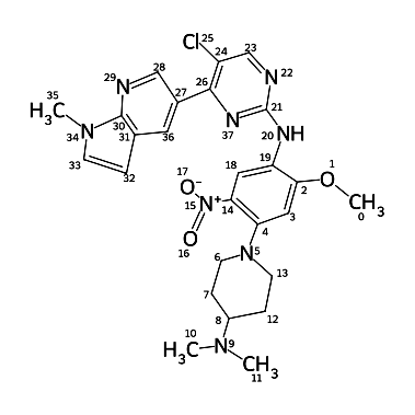 COc1cc(N2CCC(N(C)C)CC2)c([N+](=O)[O-])cc1Nc1ncc(Cl)c(-c2cnc3c(ccn3C)c2)n1